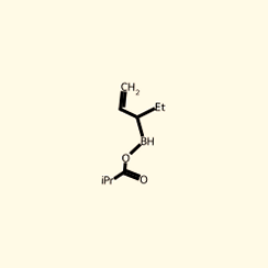 C=CC(BOC(=O)C(C)C)CC